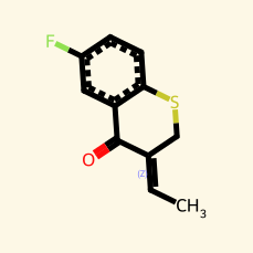 C/C=C1\CSc2ccc(F)cc2C1=O